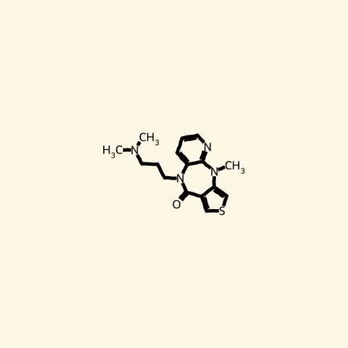 CN(C)CCCN1C(=O)c2cscc2N(C)c2ncccc21